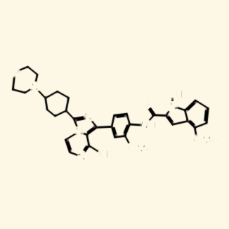 COc1cc(-c2nc(C3CCC(N4CCOCC4)CC3)n3ccnc(C)c23)ccc1NC(=O)c1cc2c(OC)cccc2n1C